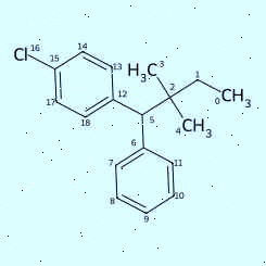 CCC(C)(C)C(c1ccccc1)c1ccc(Cl)cc1